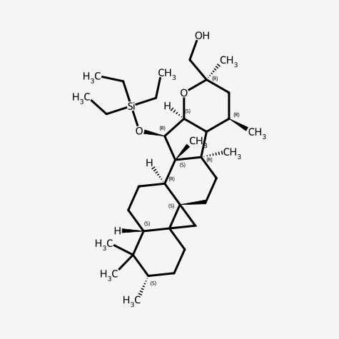 CC[Si](CC)(CC)O[C@H]1[C@H]2O[C@@](C)(CO)C[C@@H](C)C2[C@@]2(C)CC[C@@]34CC35CC[C@H](C)C(C)(C)[C@@H]5CC[C@H]4[C@]12C